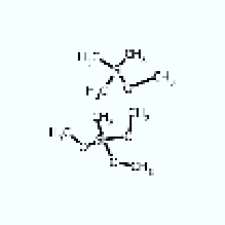 CO[Si](C)(C)C.CO[Si](C)(OC)OC